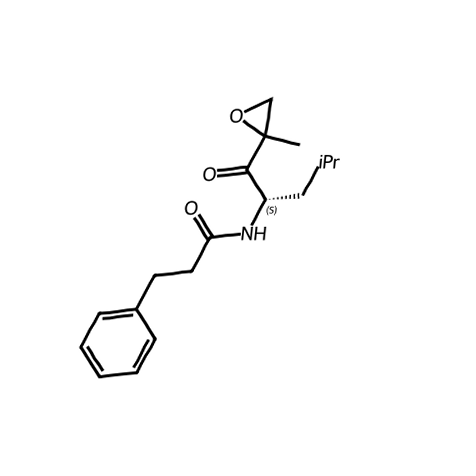 CC(C)C[C@H](NC(=O)CCc1ccccc1)C(=O)C1(C)CO1